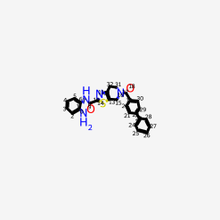 Nc1ccccc1NC(=O)c1nc2c(s1)CN(C(=O)c1ccc(-c3ccccc3)cc1)CC2